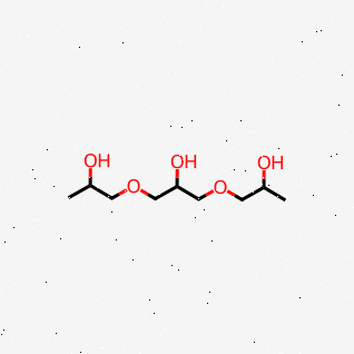 CC(O)COCC(O)COCC(C)O